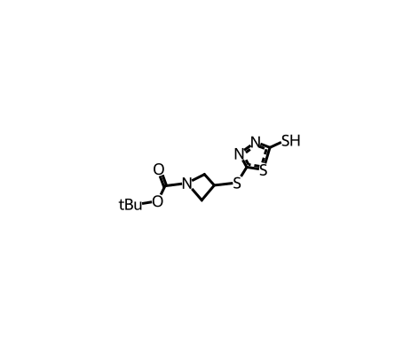 CC(C)(C)OC(=O)N1CC(Sc2nnc(S)s2)C1